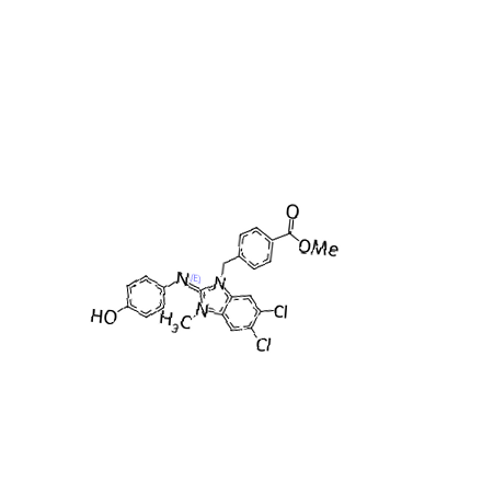 COC(=O)c1ccc(Cn2/c(=N/c3ccc(O)cc3)n(C)c3cc(Cl)c(Cl)cc32)cc1